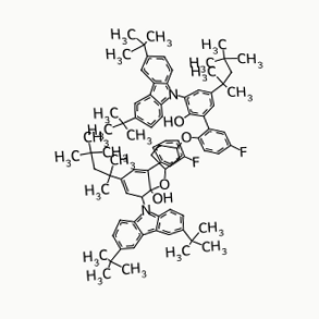 CC(C)(C)CC(C)(C)C1=CC(n2c3ccc(C(C)(C)C)cc3c3cc(C(C)(C)C)ccc32)C(O)(OC2CCC(Oc3ccc(F)cc3-c3cc(C(C)(C)CC(C)(C)C)cc(-n4c5ccc(C(C)(C)C)cc5c5cc(C(C)(C)C)ccc54)c3O)C2)C(c2cccc(F)c2)=C1